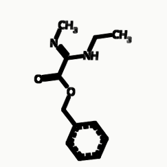 CCN/C(=N\C)C(=O)OCc1ccccc1